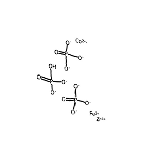 O=P([O-])([O-])O.O=P([O-])([O-])[O-].O=P([O-])([O-])[O-].[Co+2].[Fe+2].[Zr+4]